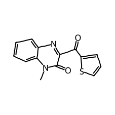 Cn1c(=O)c(C(=O)c2cccs2)nc2ccccc21